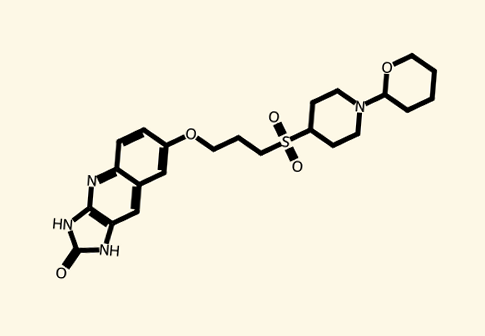 O=c1[nH]c2cc3cc(OCCCS(=O)(=O)C4CCN(C5CCCCO5)CC4)ccc3nc2[nH]1